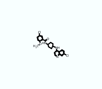 COc1ccc(Cl)cc1C(=O)NC1CCC(Nc2ccnc3cc(Cl)ccc23)CC1